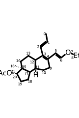 C/C=C/C1=C(/C=C/OCC)CC[C@@H]2C1CC[C@@]1(C)C2CC[C@@H]1OC(C)=O